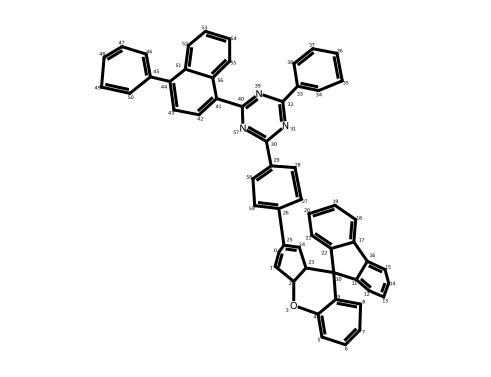 C1=CC2Oc3ccccc3C3(c4ccccc4-c4ccccc43)C2C=C1c1ccc(-c2nc(-c3ccccc3)nc(-c3ccc(-c4ccccc4)c4ccccc34)n2)cc1